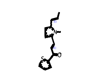 C/C=C/c1ccc(/C=C/C(=O)c2cccs2)n1C